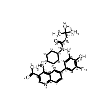 CC(=O)c1cnc2ccc(-c3cc(F)c(O)c(F)c3)cc2c1N[C@H]1CC[C@H](NC(=O)OC(C)(C)C)CC1